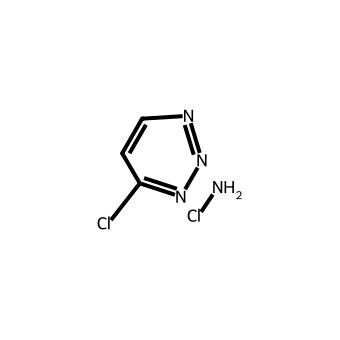 Clc1ccnnn1.NCl